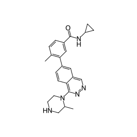 Cc1ccc(C(=O)NC2CC2)cc1-c1ccc2c(N3CCNCC3C)nncc2c1